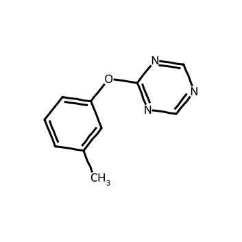 Cc1cccc(Oc2ncncn2)c1